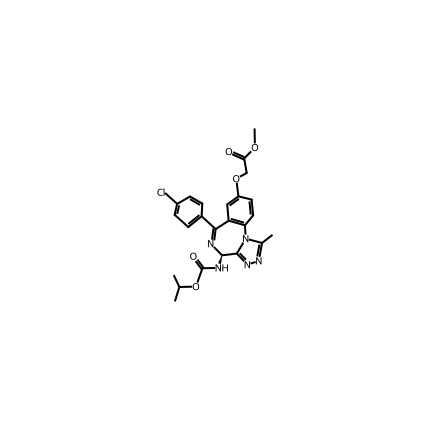 COC(=O)COc1ccc2c(c1)C(c1ccc(Cl)cc1)=N[C@H](NC(=O)OC(C)C)c1nnc(C)n1-2